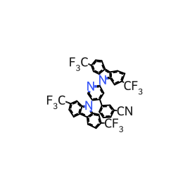 N#Cc1cccc(-c2cc(-n3c4cc(C(F)(F)F)ccc4c4ccc(C(F)(F)F)cc43)ncc2-n2c3cc(C(F)(F)F)ccc3c3ccc(C(F)(F)F)cc32)c1